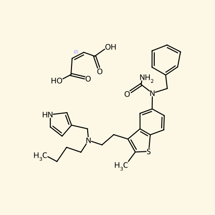 CCCCN(CCc1c(C)sc2ccc(N(Cc3ccccc3)C(N)=O)cc12)Cc1cc[nH]c1.O=C(O)/C=C\C(=O)O